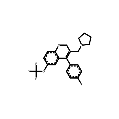 Fc1ccc(C2=C(CN3CCCC3)COc3ccc(OC(F)(F)F)cc32)cc1